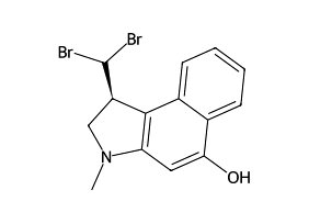 CN1C[C@@H](C(Br)Br)c2c1cc(O)c1ccccc21